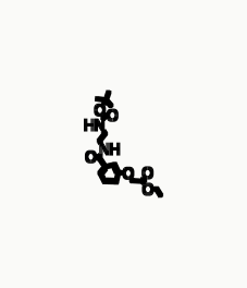 CCOC(=O)COc1cccc(C(=O)NCCNC(=O)OC(C)(C)C)c1